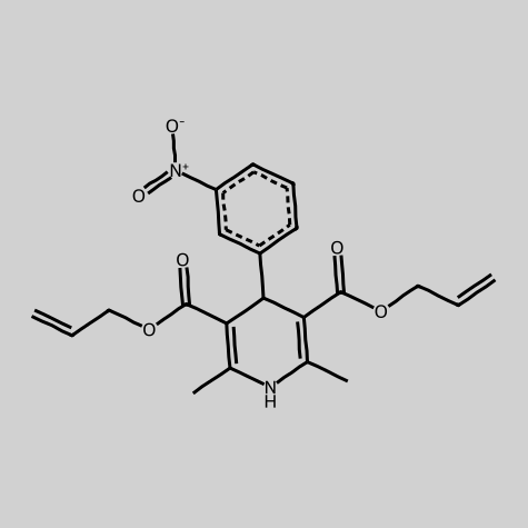 C=CCOC(=O)C1=C(C)NC(C)=C(C(=O)OCC=C)C1c1cccc([N+](=O)[O-])c1